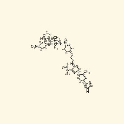 CCN1C(=O)CN(CCOc2ccc(C(=O)NCC(C)(C)C3Nc4ccc([N+](=O)[O-])cc4[C@H]4OCC[C@@H]34)cc2)c2ncc(-c3ccc(-c4nc[nH]n4)nc3C)nc21